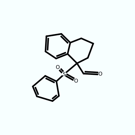 O=CC1(S(=O)(=O)c2ccccc2)CCCc2ccccc21